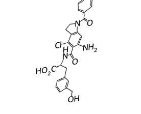 Nc1cc2c(c(Cl)c1C(=O)N[C@@H](Cc1cccc(CO)c1)C(=O)O)CCN2C(=O)c1ccc2ccoc2c1